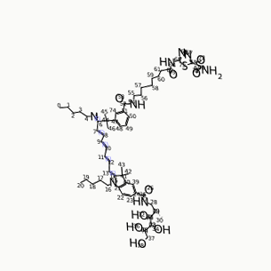 CCCCC\N=C(/C=C/C=C/C=C/C=C1/N(CCCCC)c2ccc(C(=O)NC[C@H](C)[C@@H](O)[C@H](O)[C@H](O)CO)cc2C1(C)C)C(C)(C)c1cccc(C(=O)NCCCCCCCC(=O)Nc2nnc(S(N)(=O)=O)s2)c1